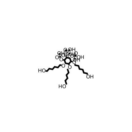 O=P(O)(O)OC1C(OCCCCCCO)C(OCCCCCCO)C(OCCCCCCO)C(OP(=O)(O)O)C1OP(=O)(O)O